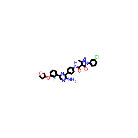 Cc1c(C(=O)Nc2ccc(-c3nc(-c4cccc(OC5CCOC5)c4F)cnc3N)cc2)c(=O)n(-c2cccc(Cl)c2)n1C